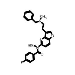 CCCCN(C(=O)c1ccc(F)cc1)c1ccc2occ(CCN(C)Cc3ccccc3)c2n1